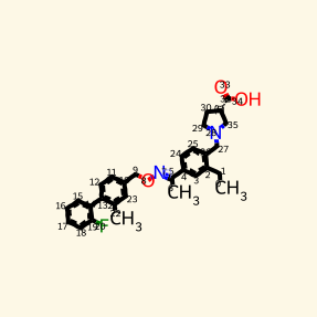 CCc1cc(/C(C)=N/OCc2ccc(-c3ccccc3F)c(C)c2)ccc1CN1CC[C@H](C(=O)O)C1